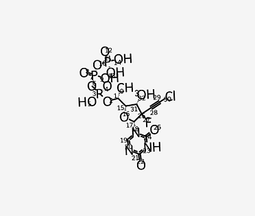 C[C@@H](OP(=O)(O)OP(=O)(O)OP(=O)(O)O)[C@H]1O[C@@H](n2cnc(=O)[nH]c2=O)C(F)(C#CCl)[C@H]1O